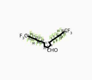 O=CC(CCC(F)(F)C(F)(F)C(F)(F)C(F)(F)C(F)(F)C(F)(F)F)CCC(F)(F)C(F)(F)C(F)(F)C(F)(F)C(F)(F)C(F)(F)F